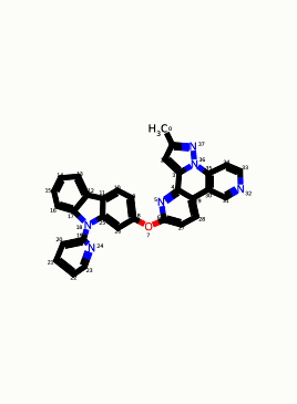 Cc1cc2c3nc(Oc4ccc5c6ccccc6n(-c6ccccn6)c5c4)ccc3c3cnccc3n2n1